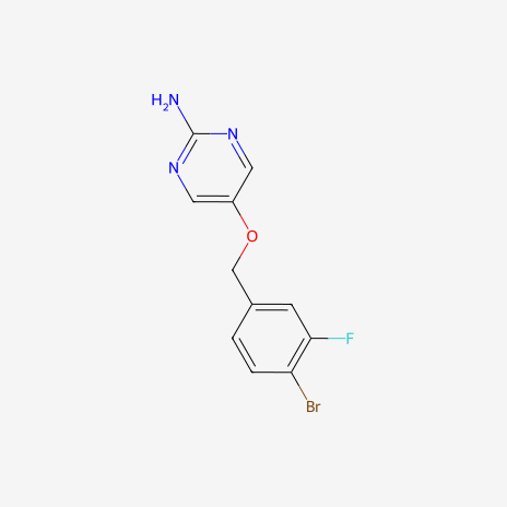 Nc1ncc(OCc2ccc(Br)c(F)c2)cn1